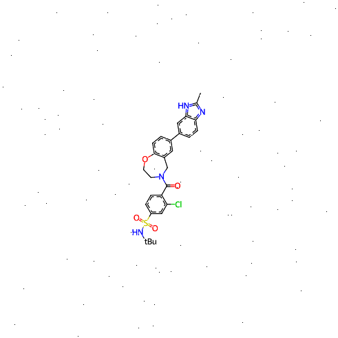 Cc1nc2ccc(-c3ccc4c(c3)CN(C(=O)c3ccc(S(=O)(=O)NC(C)(C)C)cc3Cl)CCO4)cc2[nH]1